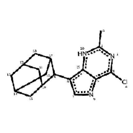 Cc1nc(Cl)c2ncc(C3C4CC5CC(C4)CC3C5)c-2[nH]1